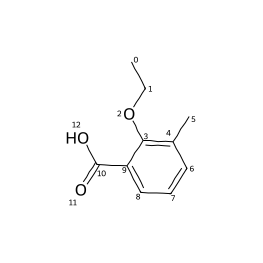 CCOc1c(C)cccc1C(=O)O